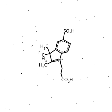 CC1=[N+](CCC(=O)O)c2ccc(S(=O)(=O)O)cc2C1(C)C.[I-]